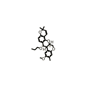 CCCO[C@@H]1c2ccc3c(c2O[C@@H]2COc4cc(C)c(OC)cc4[C@H]12)C=CC(C)(C)O3